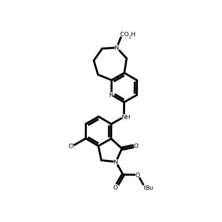 CC(C)(C)OC(=O)N1Cc2c(Cl)ccc(Nc3ccc4c(n3)CCCN(C(=O)O)C4)c2C1=O